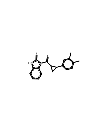 Cc1ccc(C2CC2C(=O)n2c(=S)[nH]c3ccccc32)cc1C